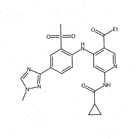 CCC(=O)c1cnc(NC(=O)C2CC2)cc1Nc1ccc(-c2ncn(C)n2)cc1S(C)(=O)=O